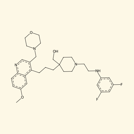 COc1ccc2ncc(CN3CCOCC3)c(CCCC3(CO)CCN(CCNc4cc(F)cc(F)c4)CC3)c2c1